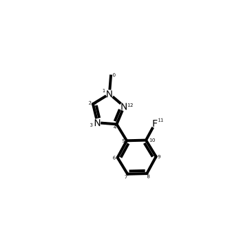 Cn1[c]nc(-c2ccccc2F)n1